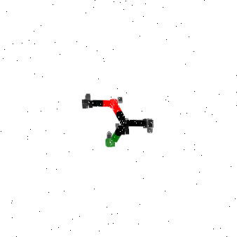 CC[SiH](Cl)OC(C)C